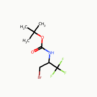 CC(C)(C)OC(=O)NC(CBr)C(F)(F)F